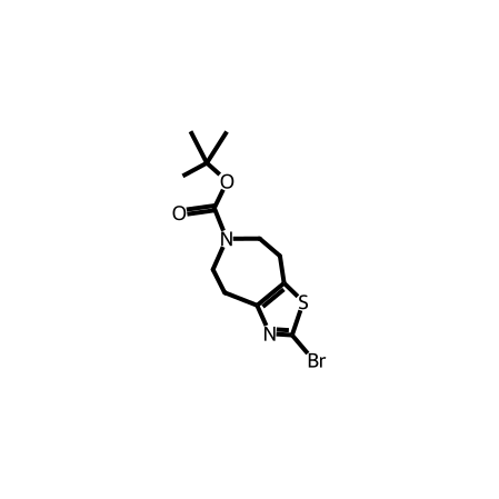 CC(C)(C)OC(=O)N1CCc2nc(Br)sc2CC1